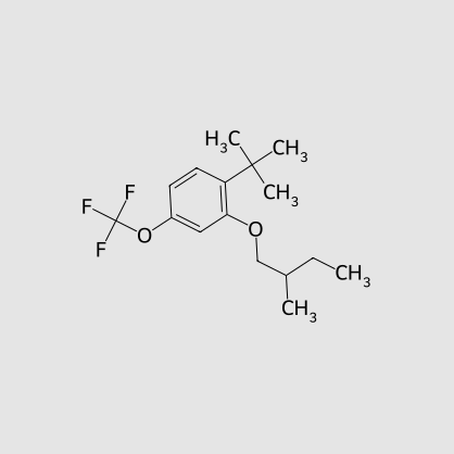 CCC(C)COc1cc(OC(F)(F)F)ccc1C(C)(C)C